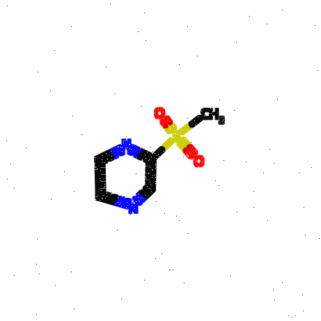 CS(=O)(=O)c1cnccn1